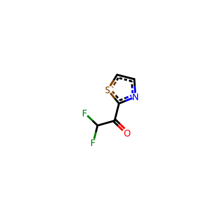 O=C(c1nccs1)C(F)F